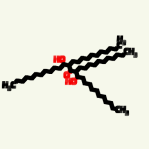 CCCCCCCCCCCC(O)C(CCCCCCCCCCC)C(=O)C(CCCCCCCCCCC)C(O)CCCCCCCCCCC